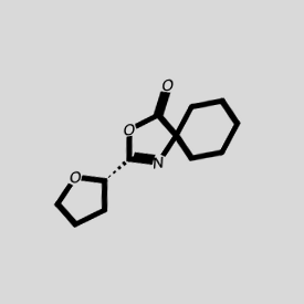 O=C1OC([C@@H]2CCCO2)=NC12CCCCC2